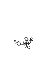 CSc1ccc(C=NN(C(C)=O)n2ccc(=O)c3ccccc32)cc1